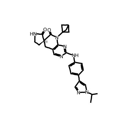 CC(C)n1cc(-c2ccc(Nc3ncc4c(n3)N(C35CC(C3)C5)C(=O)[C@]3(CCNC3=O)C4)cc2)cn1